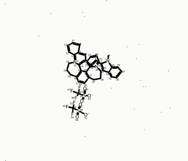 Cn1c(/C=C/c2cc3ccccc3[n+]3c2-c2c(ccc4c2-c2cccc[n+]2CCC4)CCC3)cc2ccccc21.O=S(=O)([O-])C(F)(F)F.O=S(=O)([O-])C(F)(F)F